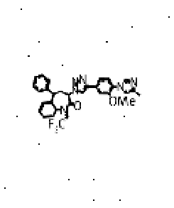 COc1cc(-c2cn(C3CC(c4ccccc4)C4C=CC=CC4N(CC(F)(F)F)C3=O)nn2)ccc1-n1cnc(C)c1